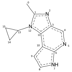 Cc1nc2cnc3[nH]ccc3c2n1C1CC1